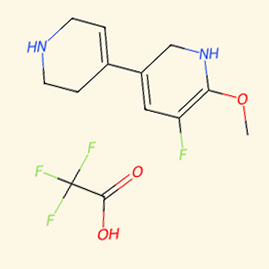 COC1=C(F)C=C(C2=CCNCC2)CN1.O=C(O)C(F)(F)F